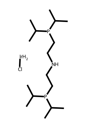 CC(C)P(CCNCCP(C(C)C)C(C)C)C(C)C.[Cl][IrH2]